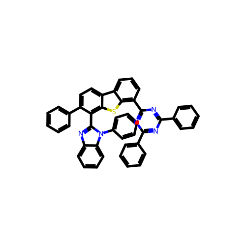 c1ccc(-c2nc(-c3ccccc3)nc(-c3cccc4c3sc3c(-c5nc6ccccc6n5-c5ccccc5)c(-c5ccccc5)ccc34)n2)cc1